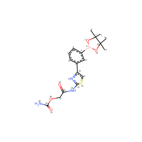 CC1(C)OB(c2cccc(-c3csc(NC(=O)COC(N)=O)n3)c2)OC1(C)C